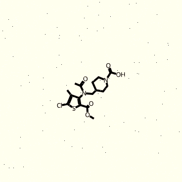 COC(=O)c1sc(Cl)c(C)c1N(CC1CCN(C(=O)O)CC1)C(C)=O